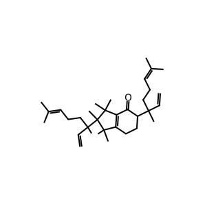 C=CC(C)(CCC=C(C)C)C1CCC2=C(C1=O)C(C)(C)C(C)(C(C)(C=C)CCC=C(C)C)C2(C)C